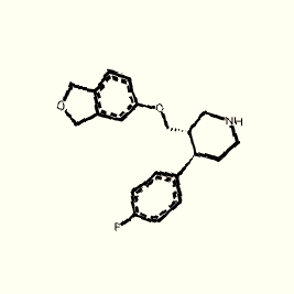 Fc1ccc([C@@H]2CCNC[C@H]2COc2ccc3c(c2)COC3)cc1